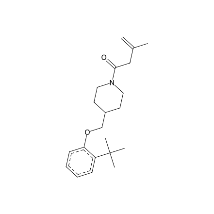 C=C(C)CC(=O)N1CCC(COc2ccccc2C(C)(C)C)CC1